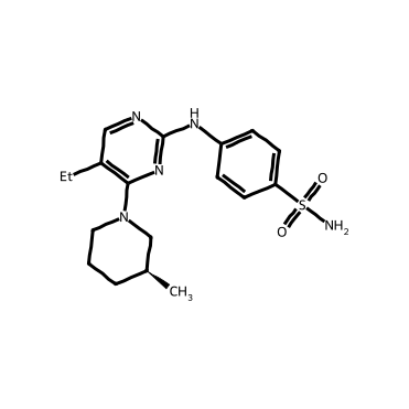 CCc1cnc(Nc2ccc(S(N)(=O)=O)cc2)nc1N1CCC[C@H](C)C1